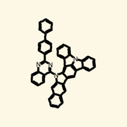 c1ccc(-c2ccc(-c3nc(-n4c5cc6ccccc6cc5c5cc6c7ccccc7n7c8ccccc8c(c54)c67)c4ccccc4n3)cc2)cc1